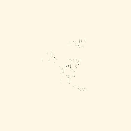 CN[C@@H](C)C(=O)CC(N)C(=O)NC(C(=O)NC(C(N)=O)C(=O)[C@@H](N)CCCNC(N)N)C(=O)[C@@H](N)CCCNC(N)N